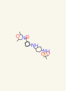 CC1CN(C(=O)c2cccc(NCC3CCC(NS(=O)(=O)C(C)(C)C)CC3)c2)CC(C)O1